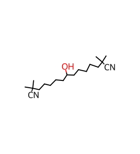 CC(C)(C#N)CCCCCC(O)CCCCCC(C)(C)C#N